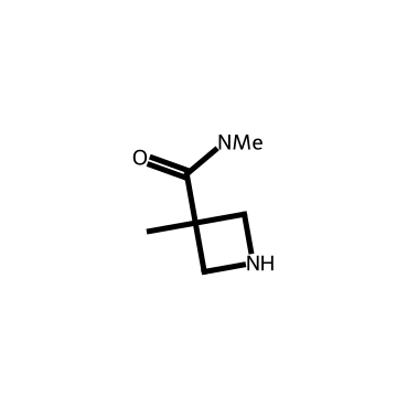 CNC(=O)C1(C)CNC1